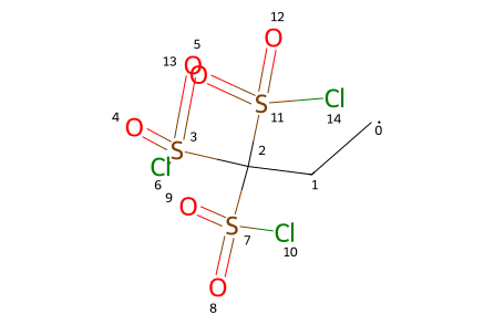 [CH2]CC(S(=O)(=O)Cl)(S(=O)(=O)Cl)S(=O)(=O)Cl